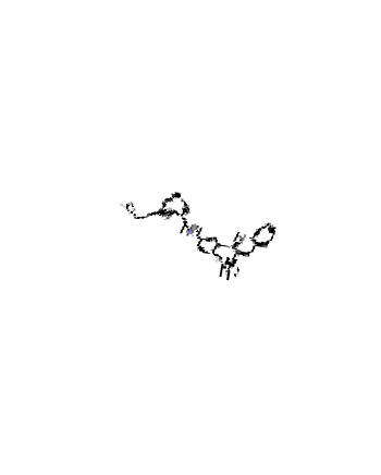 N#Cc1cc2ccccc2nc1-c1cc(/N=N/c2cccc(CO)c2)ccc1N